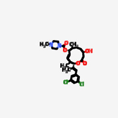 C/C(=C\c1cc(Cl)cc(Cl)c1)[C@H]1OC(=O)C[C@H](O)CC[C@H](C)[C@@H](OC(=O)N2CCN(C)CC2)/C=C/[C@@H]1C